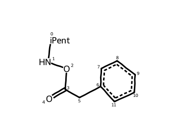 CCCC(C)NOC(=O)Cc1ccccc1